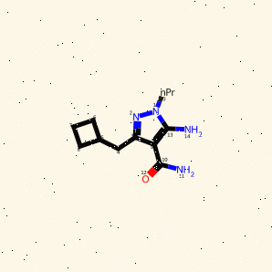 CCCn1nc(CC2CCC2)c(C(N)=O)c1N